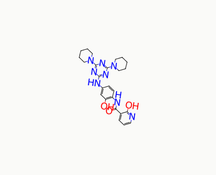 O=C(Nc1ccc(Nc2nc(N3CCCCC3)nc(N3CCCCC3)n2)cc1O)c1cccnc1O